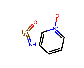 N=[SH2]=O.[O-][n+]1ccccc1